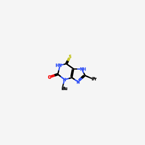 CCC(C)n1c(=O)[nH]c(=S)c2[nH]c(C(C)C)nc21